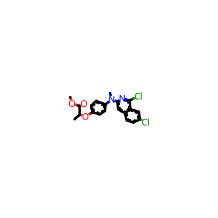 COC(=O)C(C)Oc1ccc(N(C)c2cc3ccc(Cl)cc3c(Cl)n2)cc1